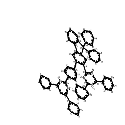 c1ccc(-c2cc(-c3ccccc3)nc(-c3ccc(-c4cc5c(cc4-c4nc(-c6ccccc6)nc(-c6ccccc6)n4)C(c4ccccc4)(c4ccccc4)c4ccccc4-5)cc3)n2)cc1